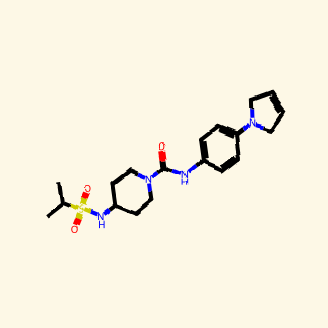 CC(C)S(=O)(=O)NC1CCN(C(=O)Nc2ccc(N3CC=CC3)cc2)CC1